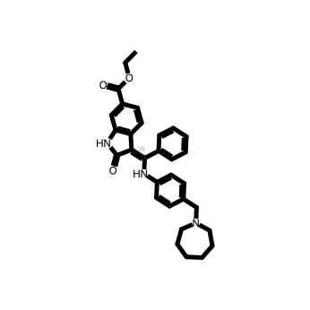 CCOC(=O)c1ccc2c(c1)NC(=O)/C2=C(\Nc1ccc(CN2CCCCCC2)cc1)c1ccccc1